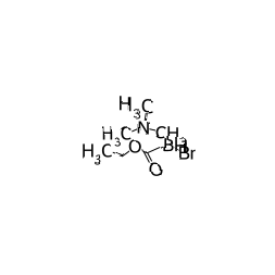 CCOC(=O)BBr.CN(C)C